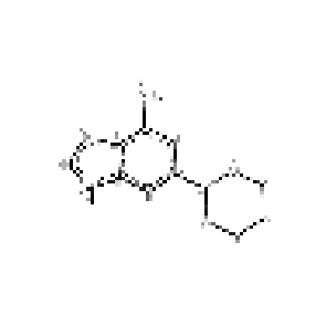 Nc1cc(C2CCCCO2)cc2[nH]ncc12